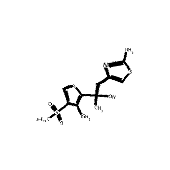 CC(O)(Cc1csc(N)n1)c1scc(S(C)(=O)=O)c1N